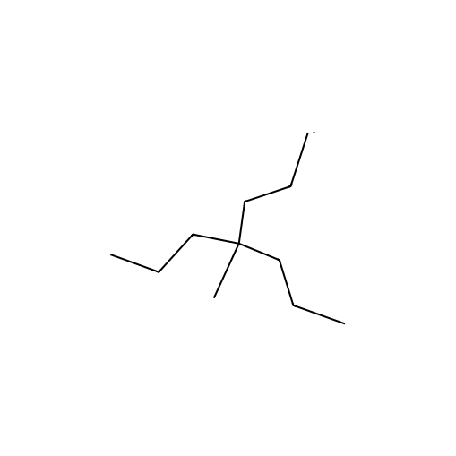 [CH2]CCC(C)(CCC)CCC